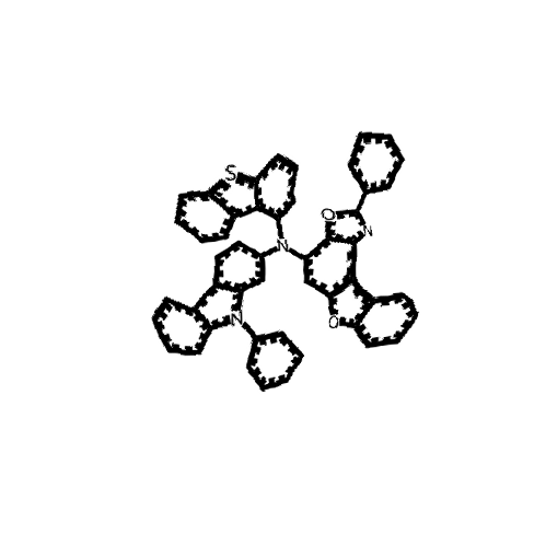 c1ccc(-c2nc3c(o2)c(N(c2ccc4c5ccccc5n(-c5ccccc5)c4c2)c2cccc4sc5ccccc5c24)cc2oc4ccccc4c23)cc1